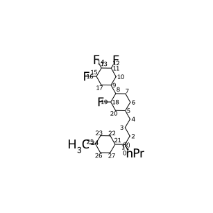 CCC[C@H](CCCC1CCC(C2CC(F)C(F)C(F)C2)C(F)C1)C1CCC(C)CC1